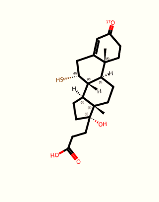 C[C@]12CCC(=[17O])C=C1C[C@@H](S)[C@@H]1[C@@H]2CC[C@@]2(C)[C@H]1CC[C@]2(O)CCC(=O)O